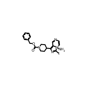 N[N+]12C=CN=CC1=C(C1CCN(C(=O)OCc3ccccc3)CC1)N=C2I